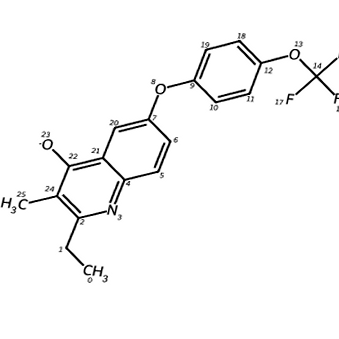 CCc1nc2ccc(Oc3ccc(OC(F)(F)F)cc3)cc2c([O])c1C